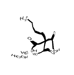 CCCCC(C(=O)O)(C(=O)O)C(=O)O.Cl.Cl.Cl